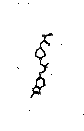 Cc1nc2ccc(OC[C@H](C)CN3CCN(CC(=O)NC(C)C)CC3)cc2s1